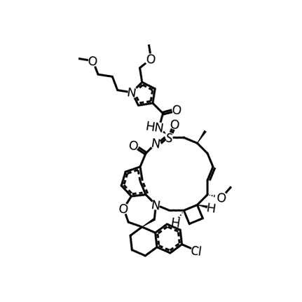 COCCCn1cc(C(=O)N[S@@]2(=O)=NC(=O)c3ccc4c(c3)N(C[C@@H]3CC[C@H]3[C@@H](OC)/C=C/C[C@H](C)C2)C[C@@]2(CCCc3cc(Cl)ccc32)CO4)cc1COC